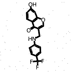 O=c1c(CNc2ccc(C(F)(F)F)cc2)coc2cc(O)ccc12